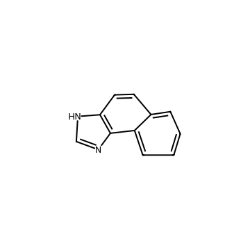 c1ccc2c(c1)ccc1[nH]cnc12